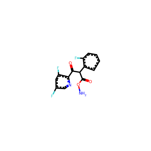 NOC(=O)C(C(=O)c1ncc(F)cc1F)c1ccccc1F